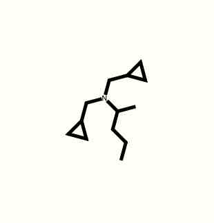 CCCC(C)N(CC1CC1)CC1CC1